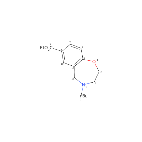 CCCCN1CCOc2ccc(C(=O)OCC)cc2C1